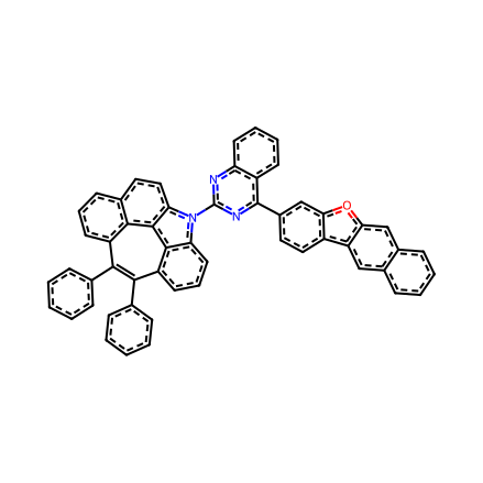 c1ccc(C2=C(c3ccccc3)c3cccc4c3c3c5c2cccc5ccc3n4-c2nc(-c3ccc4c(c3)oc3cc5ccccc5cc34)c3ccccc3n2)cc1